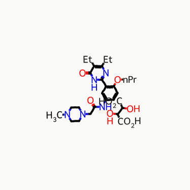 CCCOc1ccc(NC(=O)CN2CCN(C)CC2)cc1-c1nc(CC)c(CC)c(=O)[nH]1.O=C(O)C(O)C(O)C(=O)O